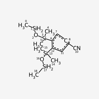 C[SiH2]O[Si](C)(C)c1ccc(C#N)cc1[Si](C)(C)O[SiH2]C